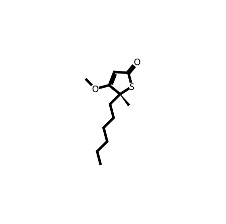 CCCCCC[C@@]1(C)SC(=O)C=C1OC